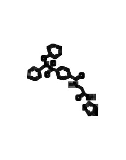 O=C(CNC(=O)c1ccc(S(=O)(=O)N(Oc2ccccc2)c2ccccc2)cc1)Nc1nncs1